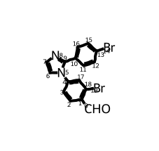 O=Cc1ccc(-n2ccnc2-c2ccc(Br)cc2)cc1Br